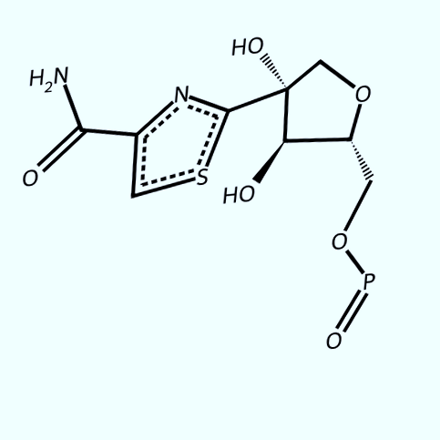 NC(=O)c1csc([C@@]2(O)CO[C@H](COP=O)[C@H]2O)n1